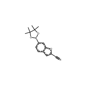 CC1(C)OB(c2ccc3cc(C#N)oc3c2)OC1(C)C